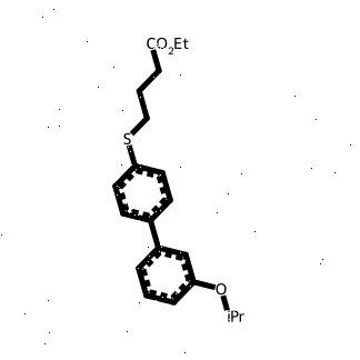 CCOC(=O)CCCSc1ccc(-c2cccc(OC(C)C)c2)cc1